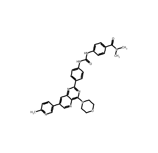 Cc1ccc(-c2cnc3c(N4CCOCC4)nc(-c4ccc(NC(=O)Nc5ccc(C(=O)N(C)C)cc5)cc4)nc3c2)cn1